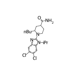 CCCCC1CC(C(N)=O)CCN1c1nc2cc(Cl)c(Cl)cc2n1C(C)C